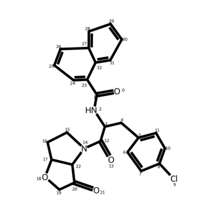 O=C(NC(Cc1ccc(Cl)cc1)C(=O)N1CCC2OCC(=O)C21)c1cccc2ccccc12